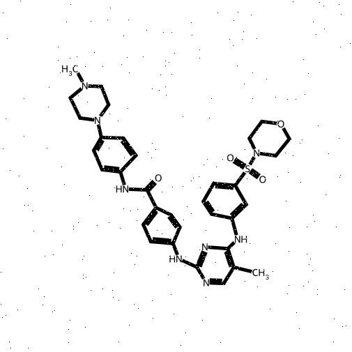 Cc1cnc(Nc2ccc(C(=O)Nc3ccc(N4CCN(C)CC4)cc3)cc2)nc1Nc1cccc(S(=O)(=O)N2CCOCC2)c1